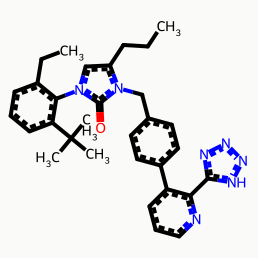 CCCc1cn(-c2c(CC)cccc2C(C)(C)C)c(=O)n1Cc1ccc(-c2cccnc2-c2nnn[nH]2)cc1